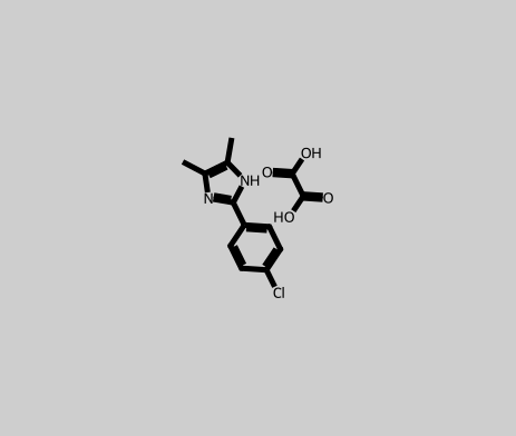 Cc1nc(-c2ccc(Cl)cc2)[nH]c1C.O=C(O)C(=O)O